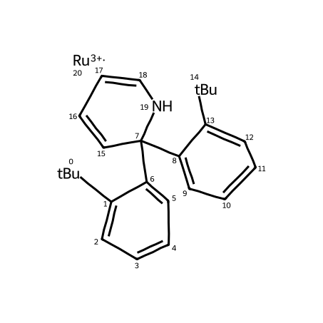 CC(C)(C)c1ccccc1C1(c2ccccc2C(C)(C)C)C=CC=CN1.[Ru+3]